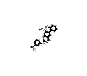 C[S+]([O-])c1cccc(Nc2ncc3cc(-c4ccccc4Br)c(C(=O)O)nc3n2)c1